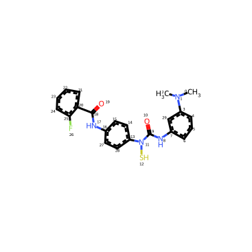 CN(C)c1cccc(NC(=O)N(S)c2ccc(NC(=O)c3ccccc3F)cc2)c1